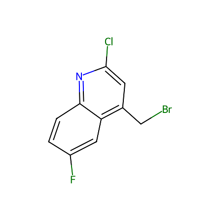 Fc1ccc2nc(Cl)cc(CBr)c2c1